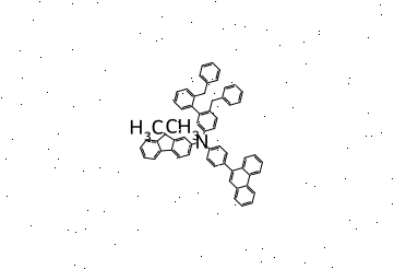 CC1(C)c2ccccc2-c2ccc(N(c3ccc(-c4cc5ccccc5c5ccccc45)cc3)c3ccc(Cc4ccccc4)c(-c4ccccc4Cc4ccccc4)c3)cc21